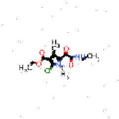 CCNC(=O)C(=O)c1c(C)c(C(=O)OCC)c(Cl)n1C